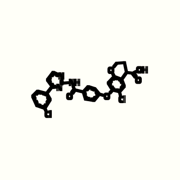 O=C(Nc1nccc(-c2cccc(Cl)c2)n1)c1ccc(Oc2cc3c(cc2Cl)C(C(=O)O)CCO3)cc1